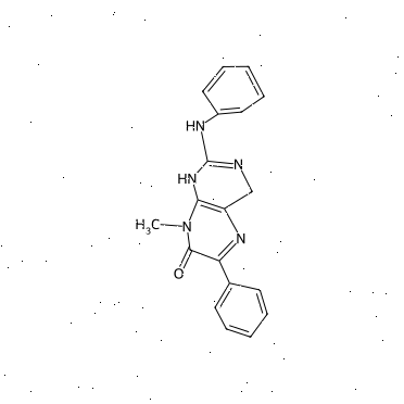 Cn1c2c(nc(-c3ccccc3)c1=O)CN=C(Nc1ccccc1)N2